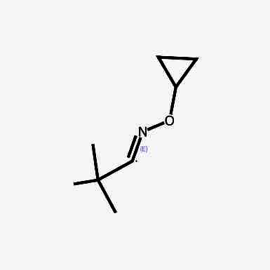 CC(C)(C)/[C]=N/OC1CC1